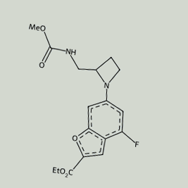 CCOC(=O)c1cc2c(F)cc(N3CCC3CNC(=O)OC)cc2o1